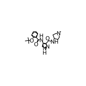 CN1CCC(NC(=O)c2n[nH]cc2NC(=O)c2ccccc2OC(C)(C)C)CC1